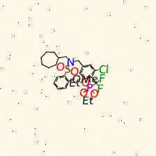 CCOP(=O)(OCC)C(F)(F)c1ccc(CN(CC2CCCCCC2)S(=O)(=O)c2ccccc2OC)cc1Cl